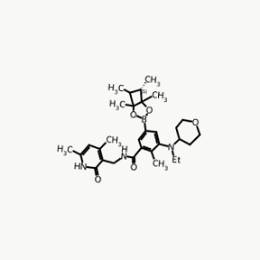 CCN(c1cc(B2OC3(C)C(C)[C@H](C)C3(C)O2)cc(C(=O)NCc2c(C)cc(C)[nH]c2=O)c1C)C1CCOCC1